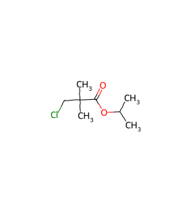 CC(C)OC(=O)C(C)(C)CCl